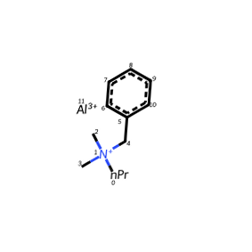 CCC[N+](C)(C)Cc1ccccc1.[Al+3]